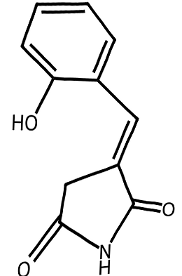 O=C1CC(=Cc2ccccc2O)C(=O)N1